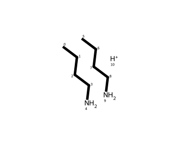 CCCCN.CCCCN.[H+]